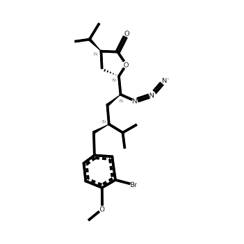 COc1ccc(C[C@@H](C[C@H](N=[N+]=[N-])[C@@H]2C[C@@H](C(C)C)C(=O)O2)C(C)C)cc1Br